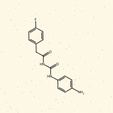 Nc1ccc(NC(=O)NC(=O)Cc2ccc(F)cc2)cc1